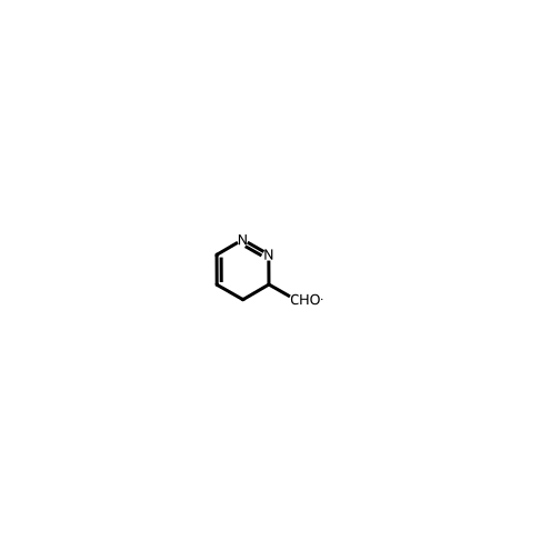 O=[C]C1CC=CN=N1